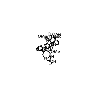 CC[C@]1(O)C[C@@H]2CN(CCc3c([nH]c4ccccc34)[C@@](C(=O)OC)(C3C=C4C(=CC3OC)N(COC)[C@H]3[C@@](O)(C(=O)OC)[C@H](OC(C)=O)[C@]5(CC)C=CCN6CC[C@]43[C@@H]65)C2)C1